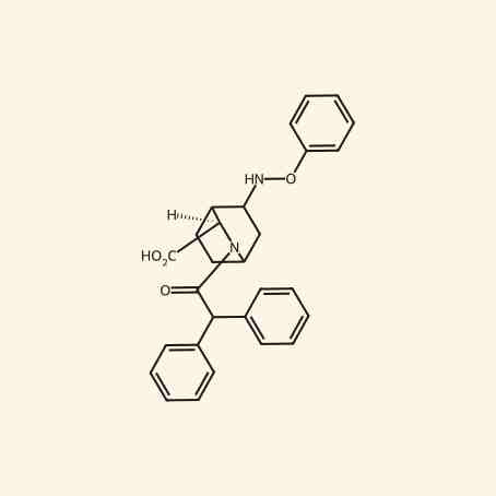 O=C(O)[C@H]1C2CCC(CC2NOc2ccccc2)N1C(=O)C(c1ccccc1)c1ccccc1